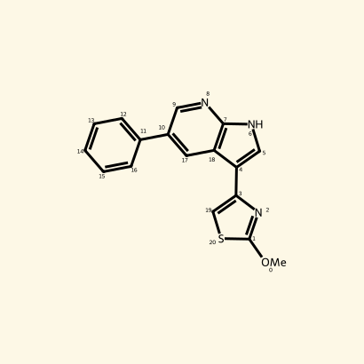 COc1nc(-c2c[nH]c3ncc(-c4ccccc4)cc23)cs1